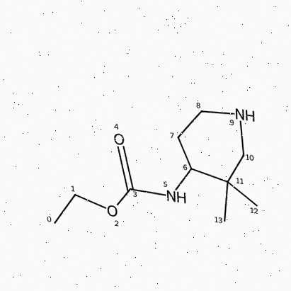 CCOC(=O)NC1CCNCC1(C)C